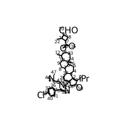 CC(C)C1=C2C3CCC4C(CCC5C(C)C(OC(=O)C6CC(C=O)C6C)CCC54C)C3CCC2(c2ncc(-c3ccc(Cl)cc3)n2CCN(C)C)CC1=O